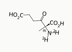 [2H]N([2H])[C@@](C)(C(=O)O)C(=O)CCC(=O)O